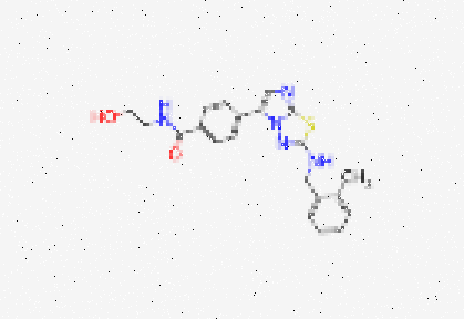 Cc1ccccc1CNc1nn2c(-c3ccc(C(=O)NCCO)cc3)cnc2s1